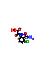 NC(=O)c1c(Cl)cccc1NC(=O)C(=O)O